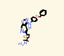 CC(C)(N)c1ccc(-c2cc3c(Nc4ccc(OCc5ccccc5)cc4)ncnc3cn2)o1